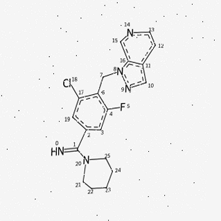 N=C(c1cc(F)c(Cn2ncc3ccncc32)c(Cl)c1)N1CCCCC1